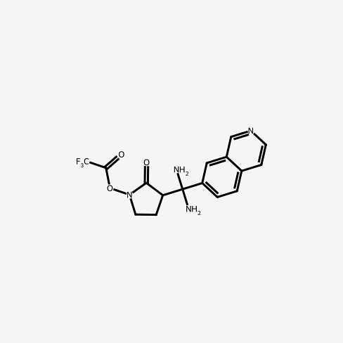 NC(N)(c1ccc2ccncc2c1)C1CCN(OC(=O)C(F)(F)F)C1=O